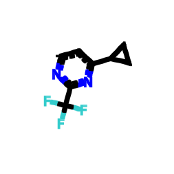 FC(F)(F)c1n[c]cc(C2CC2)n1